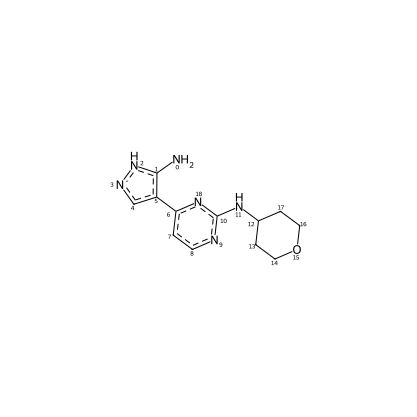 Nc1[nH]ncc1-c1ccnc(NC2CCOCC2)n1